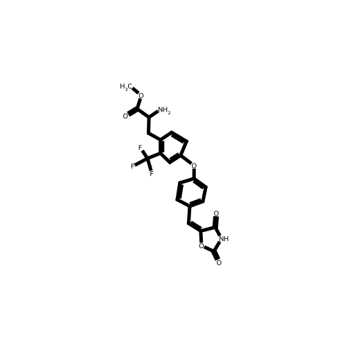 COC(=O)C(N)Cc1ccc(Oc2ccc(/C=C3/OC(=O)NC3=O)cc2)cc1C(F)(F)F